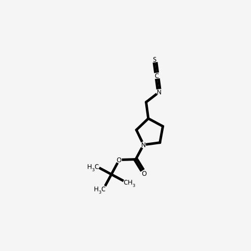 CC(C)(C)OC(=O)N1CCC(CN=C=S)C1